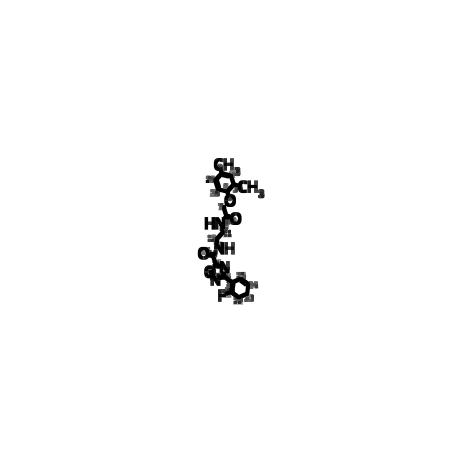 CC1=CC(C)C(OCC(=O)NCCNC(=O)c2nc(C3=C(F)CCC=C3)no2)C=C1